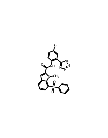 Cn1c(C(=O)Nc2ccc(Br)cc2-c2nnn[nH]2)cc2cccc(S(=O)(=O)c3ccccc3)c21